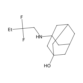 CCC(F)(F)CNC12CC3CC(CC(O)(C3)C1)C2